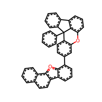 c1ccc(C23c4ccc(-c5cccc6c5oc5c7ccccc7ccc65)cc4Oc4cccc(c42)-c2ccccc23)cc1